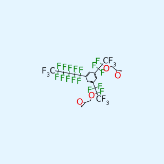 FC(F)(F)C(F)(F)C(F)(F)C(F)(F)C(F)(F)C(F)(F)c1cc(C(F)(F)C(F)(OCC2CO2)C(F)(F)F)cc(C(F)(F)C(F)(OCC2CO2)C(F)(F)F)c1